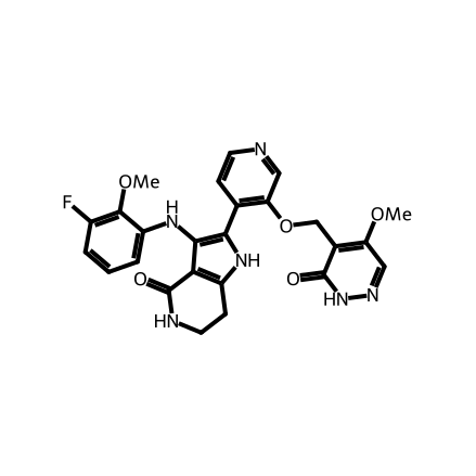 COc1cn[nH]c(=O)c1COc1cnccc1-c1[nH]c2c(c1Nc1cccc(F)c1OC)C(=O)NCC2